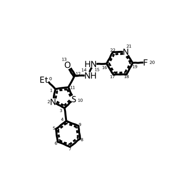 CCc1nc(-c2ccccc2)sc1C(=O)NNc1ccc(F)nc1